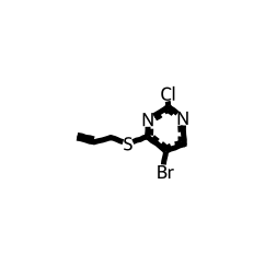 C=CCSc1nc(Cl)ncc1Br